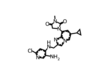 CN1C(=O)CN(c2cc(C3CC3)cn3cc(CNc4cc(Cl)ncc4N)nc23)C1=O